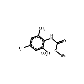 Cc1cc(C)c(NC(=O)OC(C)(C)C)c(C(=O)O)c1